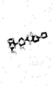 Cc1nc(N2CCCC2)ccc1NC(=O)N1CCN(c2nc(N)nc3scnc23)[C@@H](C)C1